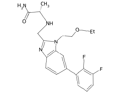 CCOCCn1c(CN[C@@H](C)C(N)=O)nc2ccc(-c3cccc(F)c3F)cc21